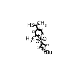 CC(S)C1=CCN(S(=O)(=O)C2CN(C(C)(C)C)C2)C(C)C1